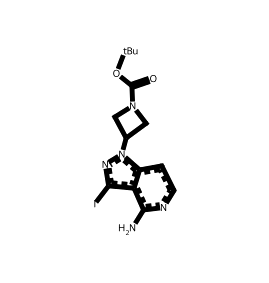 CC(C)(C)OC(=O)N1CC(n2nc(I)c3c(N)nccc32)C1